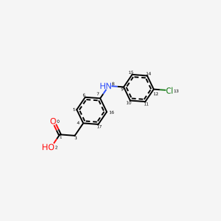 O=C(O)Cc1ccc(Nc2ccc(Cl)cc2)cc1